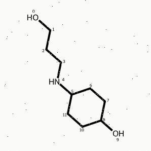 OCCCNC1CCC(O)CC1